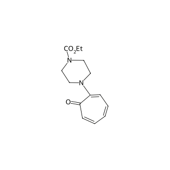 CCOC(=O)N1CCN(c2cccccc2=O)CC1